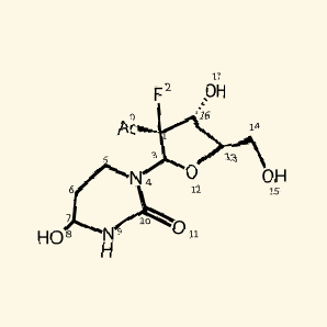 CC(=O)[C@]1(F)C(N2CCC(O)NC2=O)O[C@H](CO)[C@H]1O